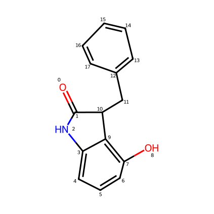 O=C1Nc2cccc(O)c2C1Cc1ccccc1